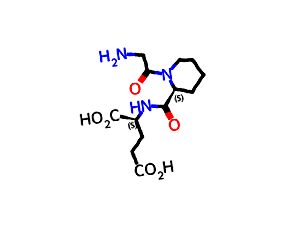 NCC(=O)N1CCCC[C@H]1C(=O)N[C@@H](CCC(=O)O)C(=O)O